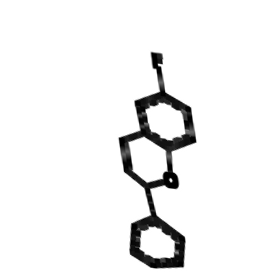 Fc1ccc2c(c1)C=CC(c1ccccc1)O2